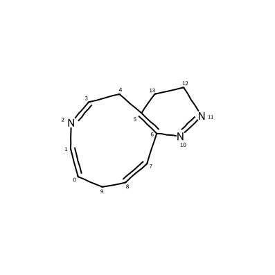 C1=C\N=C/CC2=C(/C=C\C/1)N=NCC2